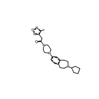 Cc1nonc1CC(=O)N1CCN(c2ccc3c(c2)CCN(C2CCCC2)CC3)CC1